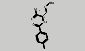 Cc1ccc(C(=O)N[C@@H](COC(C)(C)C)C(N)=O)cc1